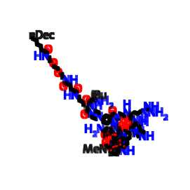 CCCCCCCCCCCCCCCC(=O)NCCOCCOCCNC(=O)CCC(=O)NCCCC[C@H](NC(=O)[C@@H](N)[C@@H](C)CC)C(=O)N1CCN(c2ccc3ncn(CC(=O)N[C@@H](CCCNC(=N)N)C(=O)N[C@@H](Cc4c[nH]cn4)C(=O)N[C@@H](Cc4ccc(O)cc4)C(=O)N[C@@H](CC(C)C)C(=O)N[C@@H](CC(N)=O)C(=O)N[C@@H](Cc4c[nH]c5ccccc45)C(=O)N[C@H](C(=O)NC)C(C)C)c(=O)c3c2)CC1